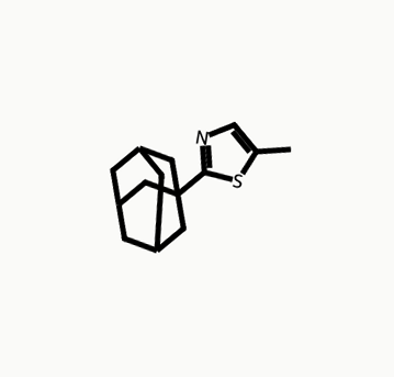 Cc1cnc(C23CC4CC(CC(C4)C2)C3)s1